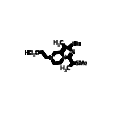 CSC(C)C1=NC(C(C)(C)C)C(C)=C2CN(CCC(=O)O)CCN12